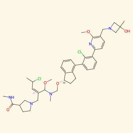 CNC(=O)C1CCN(C/C(=C/C(C)Cl)C(OC)N(C)CO[C@H]2CCc3c(-c4cccc(-c5ccc(CN6CC(C)(O)C6)c(OC)n5)c4Cl)cccc32)C1